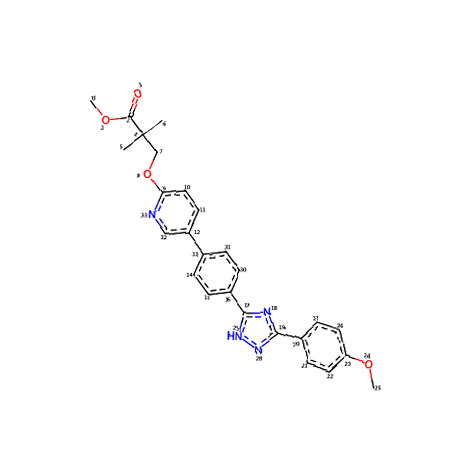 COC(=O)C(C)(C)COc1ccc(-c2ccc(-c3nc(-c4ccc(OC)cc4)n[nH]3)cc2)cn1